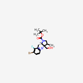 CC1CN(C(=O)OC(C)(C)C)[C@@H](Cc2cccc(Br)c2F)[C@]1(N)CO